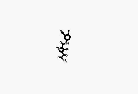 Cn1cc(C(=O)C(N)=O)c(Br)c1C(=O)Nc1ccc(F)c(C#N)c1